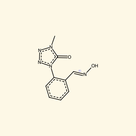 Cn1nnn(-c2ccccc2/C=N/O)c1=O